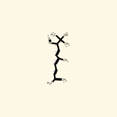 C=C(C)/C=C/C=C(C)/C=C/C(N=O)C(C)(C)O